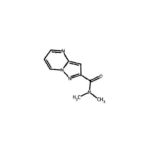 CN(C)C(=O)c1cc2ncccn2n1